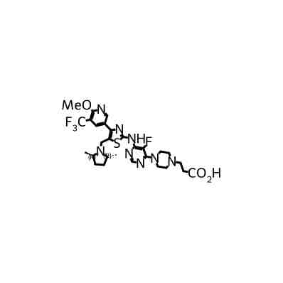 COc1ncc(-c2nc(Nc3ncnc(N4CCN(CCC(=O)O)CC4)c3F)sc2CN2[C@H](C)CC[C@H]2C)cc1C(F)(F)F